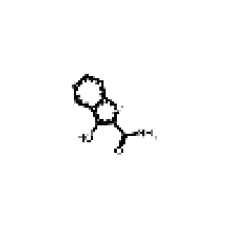 NC(=O)c1oc2ccccc2c1O